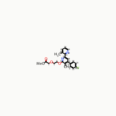 COC(=O)COCCOc1nc(-c2ncccc2C)cc(-c2ccc(F)cc2)c1C